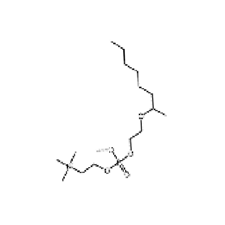 CCCCCCC(C)OCCOP(=O)(OC)OCC[N+](C)(C)C